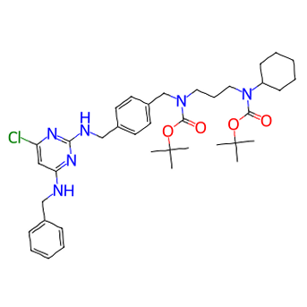 CC(C)(C)OC(=O)N(CCCN(C(=O)OC(C)(C)C)C1CCCCC1)Cc1ccc(CNc2nc(Cl)cc(NCc3ccccc3)n2)cc1